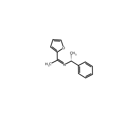 C/C(=N/[C@H](C)c1ccccc1)c1ccco1